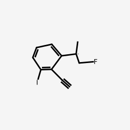 C#Cc1c(I)cccc1[C](C)CF